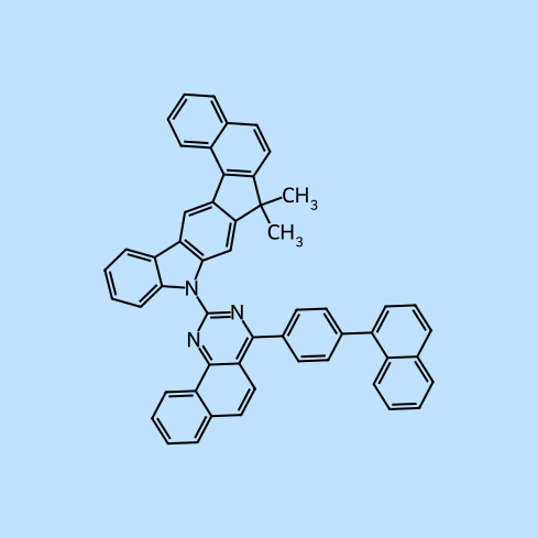 CC1(C)c2cc3c(cc2-c2c1ccc1ccccc21)c1ccccc1n3-c1nc(-c2ccc(-c3cccc4ccccc34)cc2)c2ccc3ccccc3c2n1